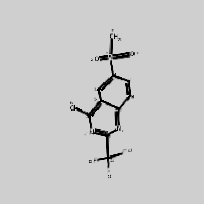 CS(=O)(=O)c1ccc2nc(C(F)(F)F)nc(Cl)c2c1